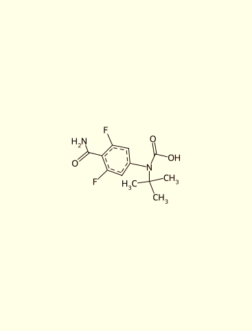 CC(C)(C)N(C(=O)O)c1cc(F)c(C(N)=O)c(F)c1